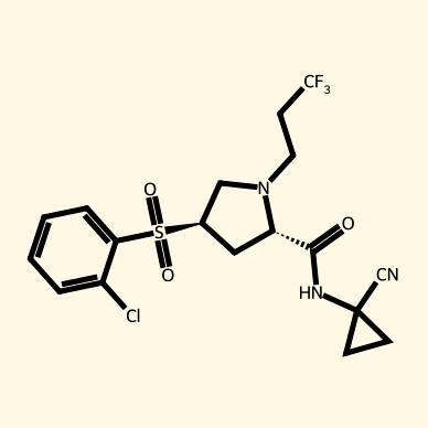 N#CC1(NC(=O)[C@@H]2C[C@@H](S(=O)(=O)c3ccccc3Cl)CN2CCC(F)(F)F)CC1